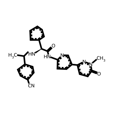 CC(CN[C@H](C(=O)Nc1ccc(-c2ccc(=O)n(C)n2)cn1)c1ccccc1)c1ccc(C#N)cc1